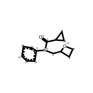 O=C(C1CC1)N(CC1CCO1)c1ccccc1